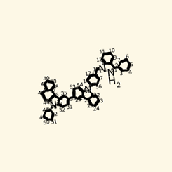 NC(c1ccccc1)c1ccccc1/N=C/c1ccc(-n2c3ccccc3c3cc(-c4ccc5c(c4)c4c6ccccc6ccc4n5-c4ccccc4)ccc32)cc1